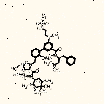 COc1c(CN2O[C@@H](CO)[C@@H]([C@H](C)O)[C@H]2C(=O)N[C@H]2C[C@@H](C)C(C)(C)[C@@H](C)[C@@H]2C)cccc1-c1cc(C(=O)N[C@@H](Cc2ccccc2)CN(C)C)cc(N(C)CCNS(C)(=O)=O)c1